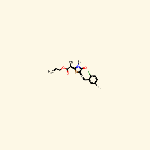 C=CCOC(=O)/C(C#N)=c1\sc(=C=Cc2cc(C(F)(F)F)ccc2F)c(=O)n1CC